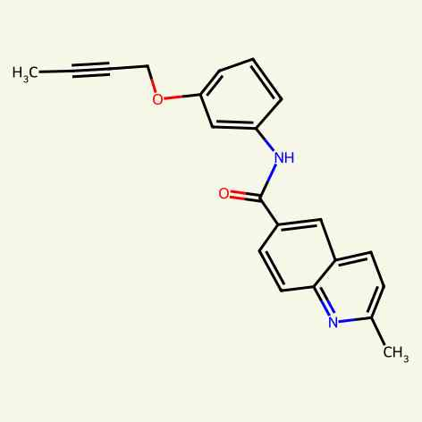 CC#CCOc1cccc(NC(=O)c2ccc3nc(C)ccc3c2)c1